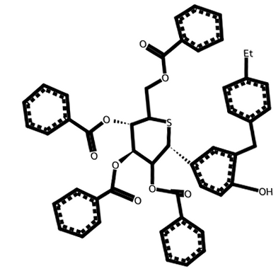 CCc1ccc(Cc2cc([C@H]3SC(COC(=O)c4ccccc4)[C@@H](OC(=O)c4ccccc4)[C@H](OC(=O)c4ccccc4)C3OC(=O)c3ccccc3)ccc2O)cc1